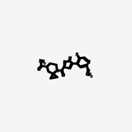 COc1cc(-c2cc(C(=O)N3CCC(C(N)=O)CC34CC4)n[nH]2)c(F)cn1